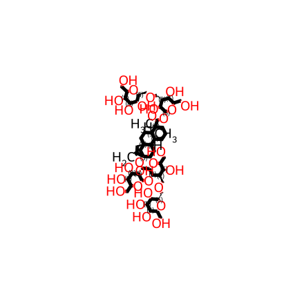 C=C1C[C@@]23CC[C@H]4[C@@](C)(CCC[C@@]4(C)C(=O)O[C@@H]4OC(CO)[C@@H](O)[C@@H](COC[C@@H]5OC(CO)[C@@H](O)[C@@H](O)C5O)C4O)[C@@H]2CC[C@]1(OCC1OC(CO)[C@@H](O)[C@@H](COC[C@@H]2OC(CO)[C@@H](O)[C@@H](O)C2O)[C@@H]1OC1OC(CO)[C@@H](O)[C@@H](O)[C@@H]1O)C3